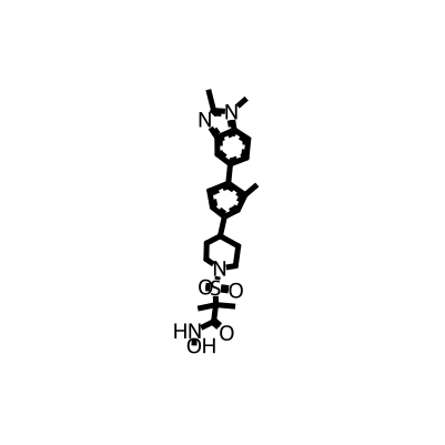 Cc1cc(C2CCN(S(=O)(=O)C(C)(C)C(=O)NO)CC2)ccc1-c1ccc2c(c1)nc(C)n2C